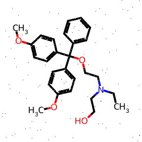 CCN(CCO)CCOC(c1ccccc1)(c1ccc(OC)cc1)c1ccc(OC)cc1